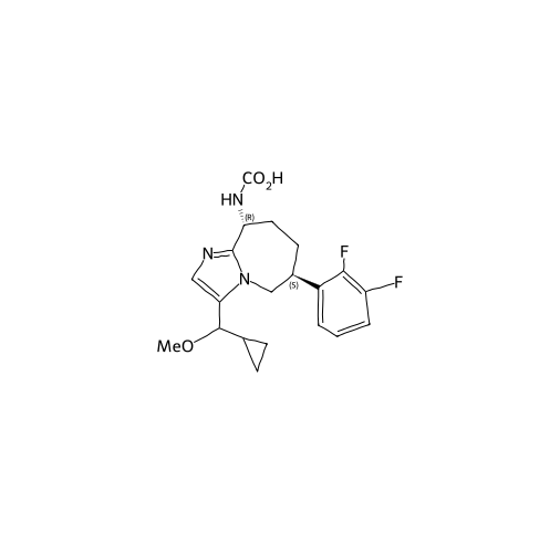 COC(c1cnc2n1C[C@H](c1cccc(F)c1F)CC[C@H]2NC(=O)O)C1CC1